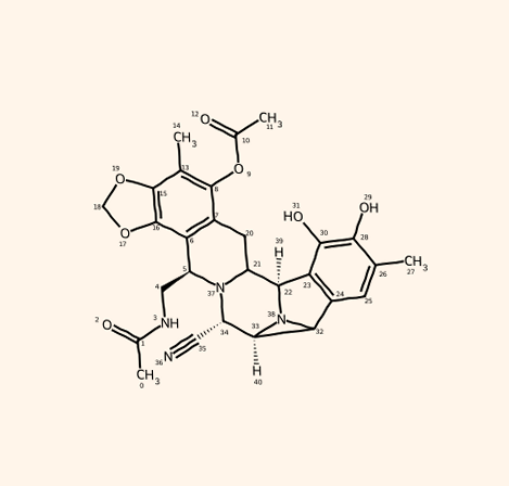 CC(=O)NC[C@H]1c2c(c(OC(C)=O)c(C)c3c2OCO3)CC2[C@H]3c4c(cc(C)c(O)c4O)C4[C@@H]([C@H](C#N)N21)N43